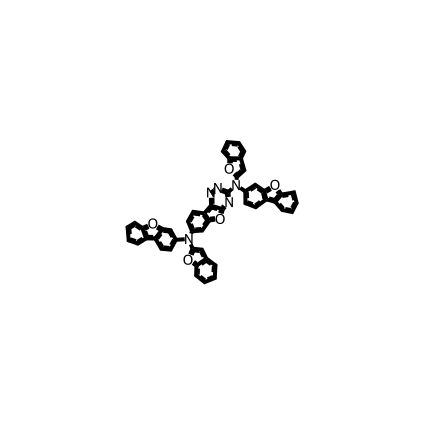 c1ccc2oc(N(c3ccc4c(c3)oc3ccccc34)c3ccc4c(c3)oc3nc(N(c5ccc6c(c5)oc5ccccc56)c5cc6ccccc6o5)nnc34)cc2c1